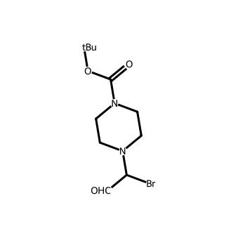 CC(C)(C)OC(=O)N1CCN(C(Br)C=O)CC1